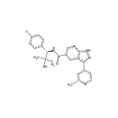 Cc1cc(-c2n[nH]c3ncc(C(=O)N[C@H](c4ccc(F)cc4)C(C)(C)O)cc23)ccn1